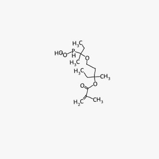 C=C(C)C(=O)OC(C)(CC)CCOC(C)(CC)POO